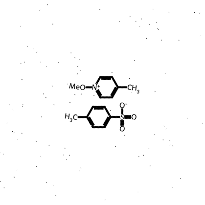 CO[n+]1ccc(C)cc1.Cc1ccc(S(=O)(=O)[O-])cc1